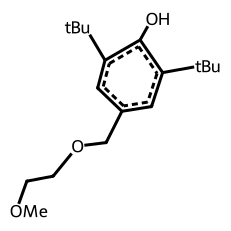 COCCOCc1cc(C(C)(C)C)c(O)c(C(C)(C)C)c1